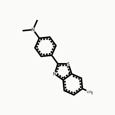 CN(C)c1ccc(-c2nc3ccc([125I])cc3s2)cc1